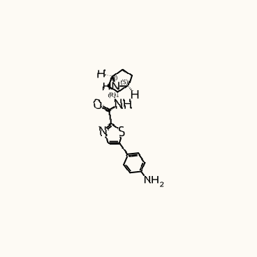 Nc1ccc(-c2cnc(C(=O)N[C@@H]3C[C@H]4CC[C@@H]3N4)s2)cc1